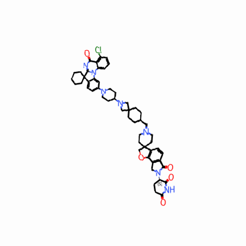 O=C1CC[C@H](N2Cc3c(ccc4c3OCC43CCN(CC4CCC5(CC4)CN(C4CCN(c6ccc7c(c6)-n6c(nc(=O)c8c(Cl)cccc86)C76CCCCC6)CC4)C5)CC3)C2=O)C(=O)N1